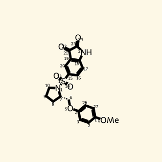 COc1ccc(OC[C@@H]2CCCN2S(=O)(=O)c2ccc3c(c2)C(=O)C(=O)N3)cc1